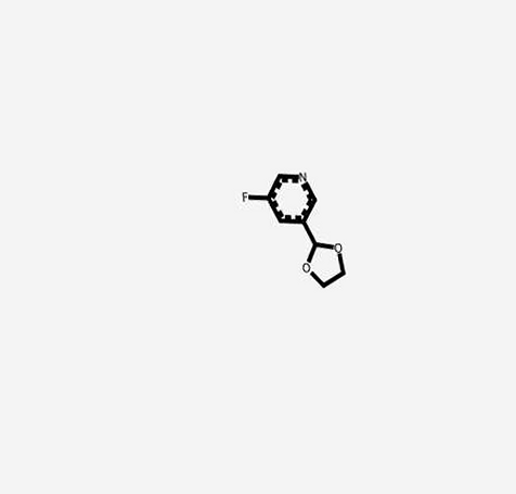 Fc1cncc(C2OCCO2)c1